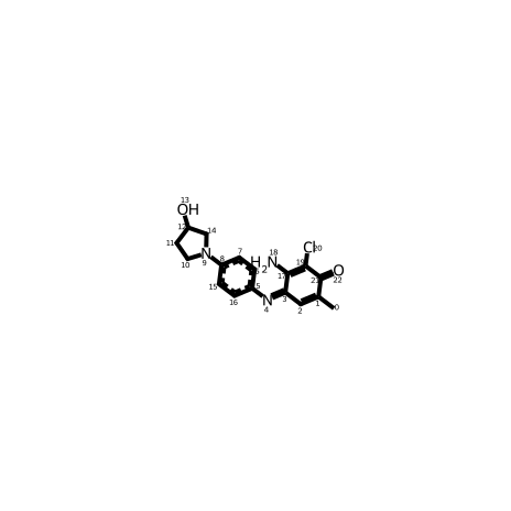 CC1=C/C(=N/c2ccc(N3CCC(O)C3)cc2)C(N)=C(Cl)C1=O